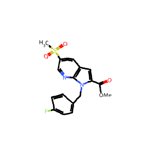 COC(=O)c1cc2cc(S(C)(=O)=O)cnc2n1Cc1ccc(F)cc1